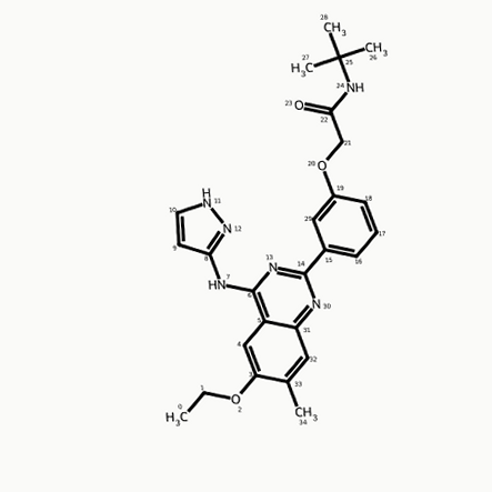 CCOc1cc2c(Nc3cc[nH]n3)nc(-c3cccc(OCC(=O)NC(C)(C)C)c3)nc2cc1C